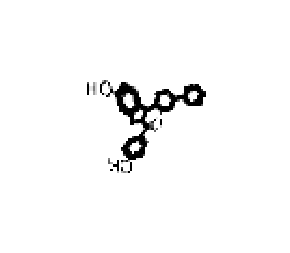 O=C(C1=C(c2ccc(-c3ccccc3)cc2)c2ccc(O)cc2C1)c1ccc(O)cc1